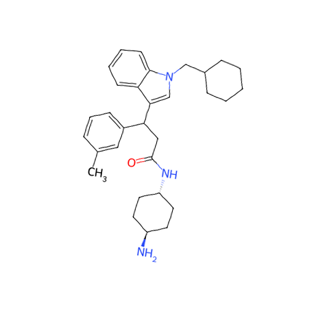 Cc1cccc(C(CC(=O)N[C@H]2CC[C@H](N)CC2)c2cn(CC3CCCCC3)c3ccccc23)c1